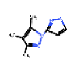 Cc1nn(C2=N[N]C=C2)c(C)c1C